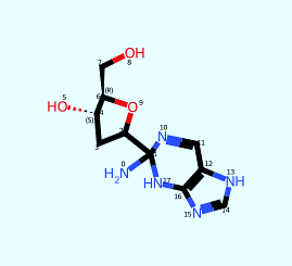 NC1(C2C[C@H](O)[C@@H](CO)O2)N=Cc2[nH]cnc2N1